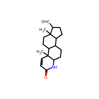 CC12C=CC(=O)NC1CCC1C2CCC2(C)C(C=O)CCC12